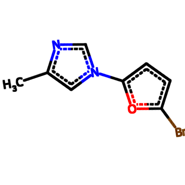 Cc1cn(-c2ccc(Br)o2)cn1